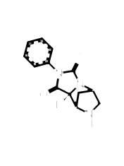 O=C1[C@H]2C3CC(CN3)N2C(=O)N1c1ccccc1